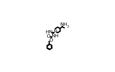 CC(N)C1CCN(C(=N)NC(=O)OCc2ccccc2)CC1